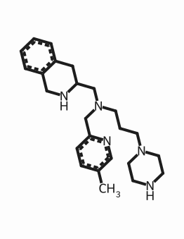 Cc1ccc(CN(CCCN2CCNCC2)CC2Cc3ccccc3CN2)nc1